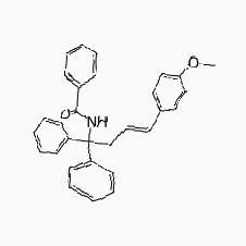 COc1ccc(C=CCC(NC(=O)c2ccccc2)(c2ccccc2)c2ccccc2)cc1